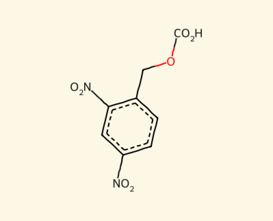 O=C(O)OCc1ccc([N+](=O)[O-])cc1[N+](=O)[O-]